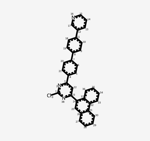 Clc1nc(-c2ccc(-c3ccc(-c4cccnc4)cc3)cc2)cc(-c2cc3ccccc3c3ccccc23)n1